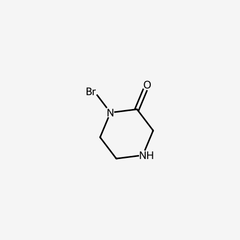 O=C1CNCCN1Br